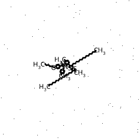 CCCCCCCCCCCCCCCc1c(C)sc2c(CCCCCCCCCCCCCCC)c(-c3ccc(C)c4nc(-c5ccc(OCCCCCC)cc5)c(-c5ccc(C)cc5)nc34)sc12